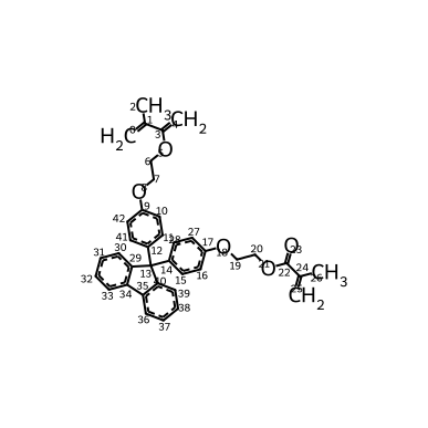 C=C(C)C(=C)OCCOc1ccc(C2(c3ccc(OCCOC(=O)C(=C)C)cc3)c3ccccc3-c3ccccc32)cc1